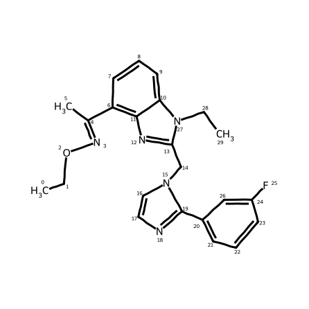 CCON=C(C)c1cccc2c1nc(Cn1ccnc1-c1cccc(F)c1)n2CC